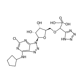 O=P(O)(O)C(OC[C@H]1O[C@@H](n2nnc3c(NC4CCCC4)nc(Cl)nc32)[C@H](O)[C@@H]1O)c1nnn[nH]1